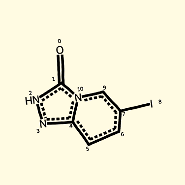 O=c1[nH]nc2ccc(I)cn12